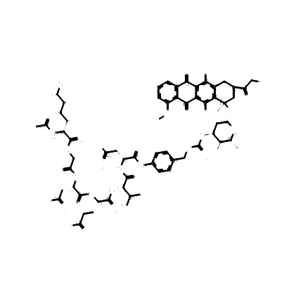 COc1cccc2c1C(=O)c1c(O)c3c(c(O)c1C2=O)C[C@@](O)(C(=O)CO)C[C@]3(C)O[C@H]1C[C@H](NC(=O)OCc2ccc(NC(=O)[C@H](CC(=O)O)NC(=O)[C@@H](NC(=O)[C@H](CCC(=O)O)NC(=O)[C@H](CC(=O)O)NC(=O)CNC(=O)[C@H](CCCCN)NC(C)=O)C(C)C)cc2)[C@H](O)[C@H](C)O1